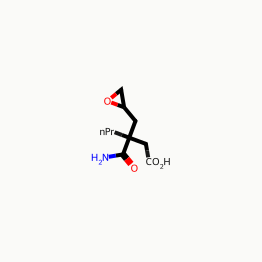 CCCC(CC(=O)O)(CC1CO1)C(N)=O